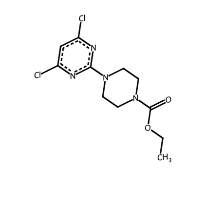 CCOC(=O)N1CCN(c2nc(Cl)cc(Cl)n2)CC1